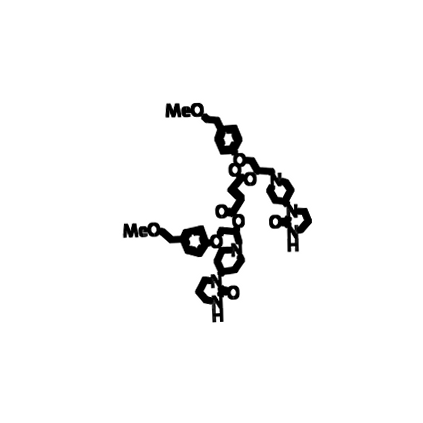 COCCc1ccc(OCC(CN2CCC(N3CCCNC3=O)CC2)OC(=O)/C=C/C(=O)OC(COc2ccc(CCOC)cc2)CN2CCC(N3CCCNC3=O)CC2)cc1